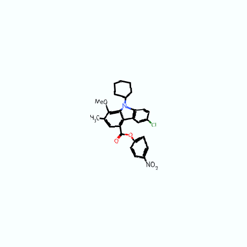 COc1c(C)cc(C(=O)Oc2ccc([N+](=O)[O-])cc2)c2c3cc(Cl)ccc3n(C3CCCCC3)c12